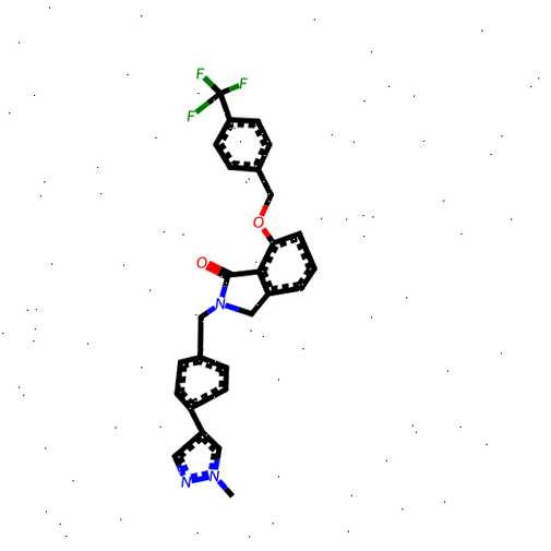 Cn1cc(-c2ccc(CN3Cc4cccc(OCc5ccc(C(F)(F)F)cc5)c4C3=O)cc2)cn1